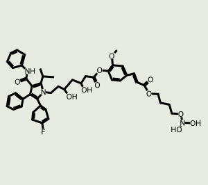 COc1cc(/C=C/C(=O)OCCCCON(O)O)ccc1OC(=O)CC(O)CC(O)CCn1c(-c2ccc(F)cc2)c(-c2ccccc2)c(C(=O)Nc2ccccc2)c1C(C)C